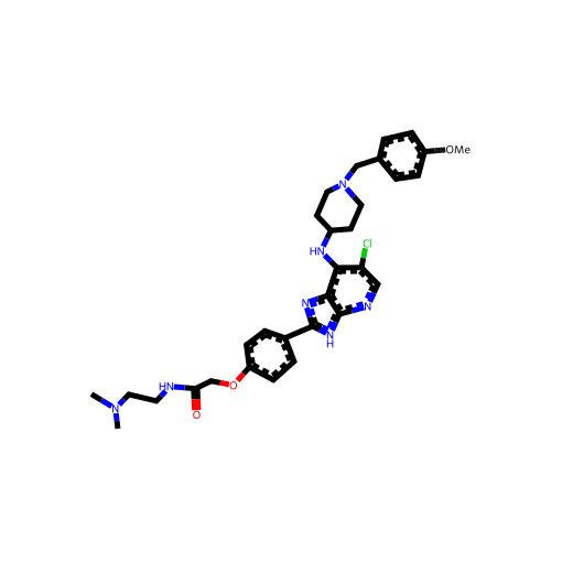 COc1ccc(CN2CCC(Nc3c(Cl)cnc4[nH]c(-c5ccc(OCC(=O)NCCN(C)C)cc5)nc34)CC2)cc1